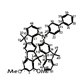 COc1cc(OC)c2c(c1)-c1cc3c(cc1C2(C)C)-c1c(N(c2ccc(-c4ccccc4)cc2)c2ccc4c(c2)C(C)(C)c2ccccc2-4)cccc1C3(C)C